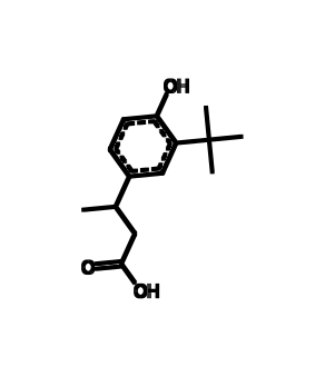 CC(CC(=O)O)c1ccc(O)c(C(C)(C)C)c1